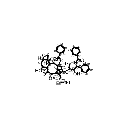 CC(=O)O[C@H]1C(=O)[C@@]2(C)[C@H]([C@H](OC(=O)c3ccccc3)[C@]3(O)C[C@H](OC(=O)[C@H](O)[C@@H](NC(=O)c4ccccc4)c4ccccc4)C(C)=C1C3(C)C)[C@]1(OC(C)=O)CO[C@@H]1C[C@@H]2O.CCOCC